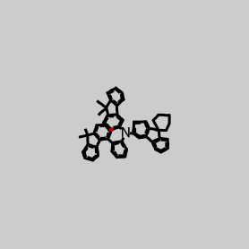 CC1(C)c2ccccc2-c2cc(N(c3ccc4c(c3)-c3ccccc3C43CCCCC3)c3ccccc3-c3cccc4c3-c3ccccc3C4(C)C)ccc21